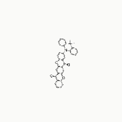 CC1(C)c2ccccc2N(c2ccc3oc4cc5c(=O)c6ccccc6oc5cc4c(=O)c3c2)c2ccccc21